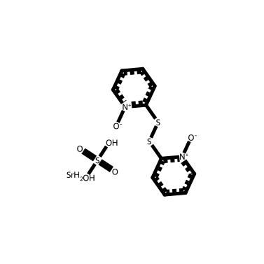 O=S(=O)(O)O.[O-][n+]1ccccc1SSc1cccc[n+]1[O-].[SrH2]